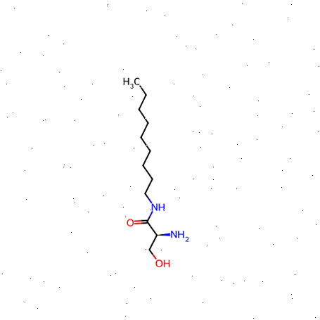 CCCCCCCCCNC(=O)[C@@H](N)CO